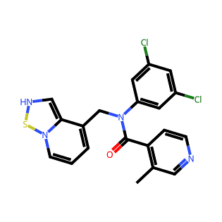 Cc1cnccc1C(=O)N(CC1=CC=CN2SNC=C12)c1cc(Cl)cc(Cl)c1